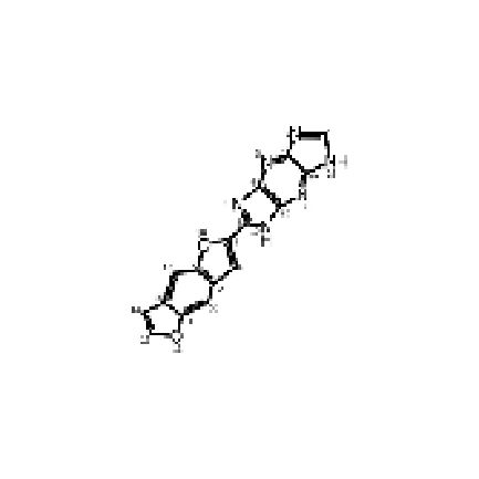 c1nc2nc3nc(-c4cc5cc6occc6cc5o4)[nH]c3nc2[nH]1